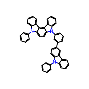 c1ccc(-n2c3ccccc3c3cc(-c4cccc(-n5c6ccccc6c6c7c8ccccc8n(-c8ccccc8)c7ccc65)c4)ccc32)cc1